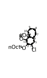 CCCCCCCCOc1c(Cl)cc2ccccc2c1OCCCCCCCC